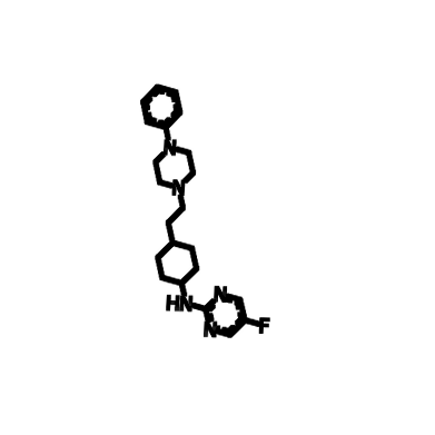 Fc1cnc(NC2CCC(CCN3CCN(c4ccccc4)CC3)CC2)nc1